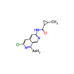 CC1CC1C(=O)Nc1cc2cc(Cl)nc([AsH2])c2cn1